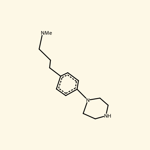 CNCCCc1ccc(N2CCNCC2)cc1